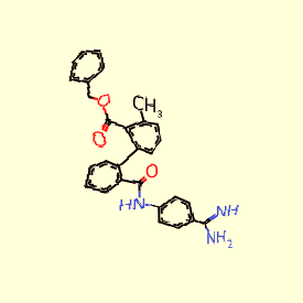 Cc1cccc(-c2ccccc2C(=O)Nc2ccc(C(=N)N)cc2)c1C(=O)OCc1ccccc1